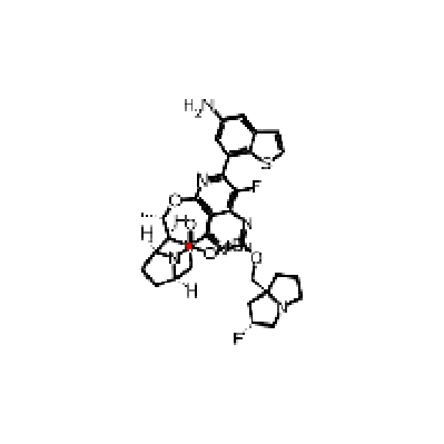 C[C@@H]1Oc2nc(-c3cc(N)cc4ccsc34)c(F)c3nc(OC[C@@]45CCCN4C[C@H](F)C5)nc(c23)N2C[C@H]3CC[C@@H]([C@@H]12)N3C(=O)OC(C)(C)C